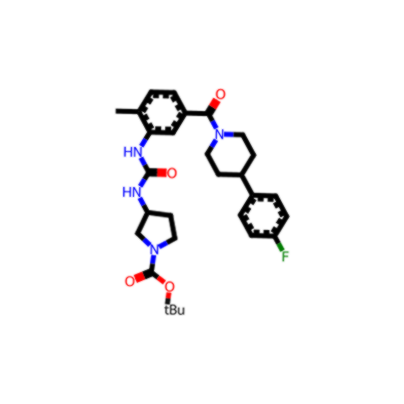 Cc1ccc(C(=O)N2CCC(c3ccc(F)cc3)CC2)cc1NC(=O)NC1CCN(C(=O)OC(C)(C)C)C1